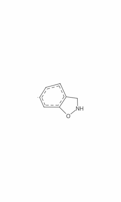 [c]1ccc2c(c1)ONC2